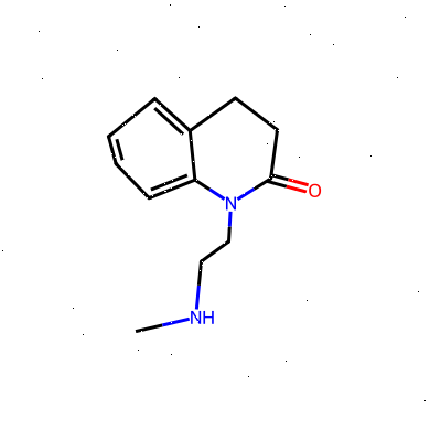 CNCCN1C(=O)CCc2ccccc21